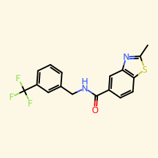 Cc1nc2cc(C(=O)NCc3cccc(C(F)(F)F)c3)ccc2s1